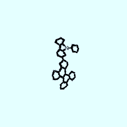 c1ccc(-n2c3ccccc3c3ccc(-c4ccc5c(c4)c4ccccc4c4c6ccccc6c6ccccc6c54)cc32)cc1